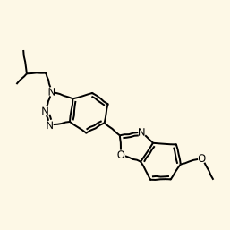 COc1ccc2oc(-c3ccc4c(c3)nnn4CC(C)C)nc2c1